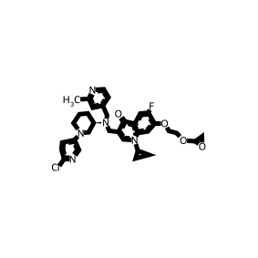 Cc1cc(CN(Cc2cn(C3CC3)c3cc(OCCOC4CO4)c(F)cc3c2=O)[C@H]2CCCN(c3ccc(Cl)nc3)C2)ccn1